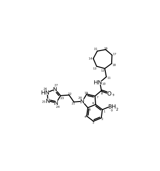 Bc1cccc2c1c(C(=O)NCC1CCCCCC1)cn2CCc1nn[nH]n1